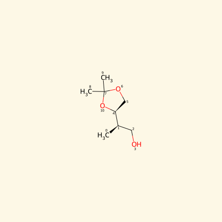 C[C@H](CO)[C@@H]1COC(C)(C)O1